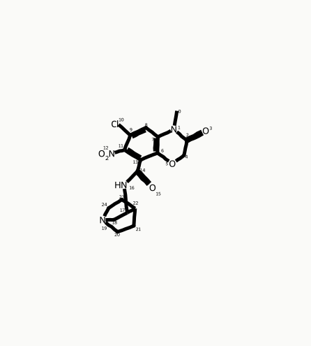 CN1C(=O)COc2c1cc(Cl)c([N+](=O)[O-])c2C(=O)NC1CN2CCC1CC2